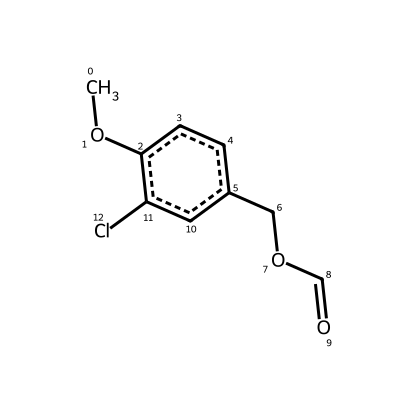 COc1ccc(COC=O)cc1Cl